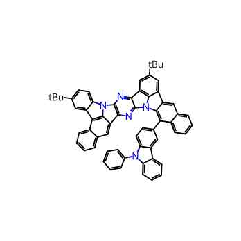 CC(C)(C)c1ccc2c(c1)c1c3ccccc3cc3c4nc5c(nc4n2c31)c1cc(C(C)(C)C)cc2c3cc4ccccc4c(-c4ccc6c(c4)c4ccccc4n6-c4ccccc4)c3n5c21